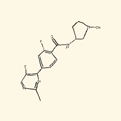 Cc1ncc(F)c(-c2ccc(C(=O)NC3CCN(C#N)C3)c(F)c2)n1